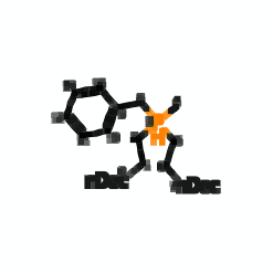 CCCCCCCCCCCC[PH](C)(CCCCCCCCCCCC)Cc1ccccc1